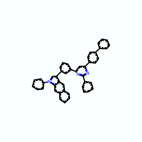 c1ccc(-c2ccc(-c3cc(-c4cccc(-c5cn(-c6ccccc6)c6cc7ccccc7cc56)c4)nc(-c4ccccc4)n3)cc2)cc1